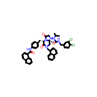 CC(C)N(C(=O)NCc1ccc(Cl)c(Cl)c1)N1CC(=O)N2[C@@H](Cc3ccc(NC(=O)c4cccc5ccccc45)cc3)C(=O)N(Cc3cccc4ccccc34)C[C@@H]21